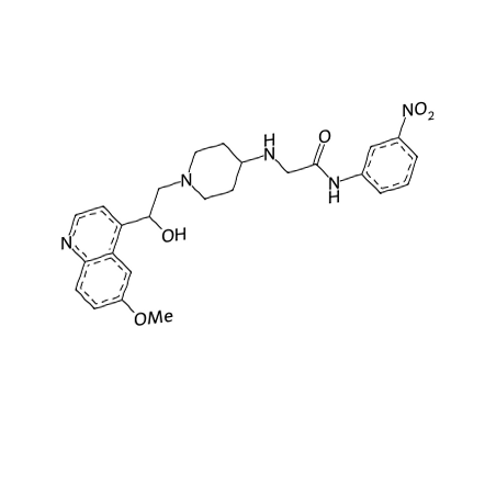 COc1ccc2nccc(C(O)CN3CCC(NCC(=O)Nc4cccc([N+](=O)[O-])c4)CC3)c2c1